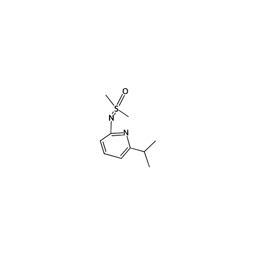 CC(C)c1cccc(N=S(C)(C)=O)n1